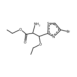 CCOC(=O)C(N)C(OCC)c1nc(Br)cs1